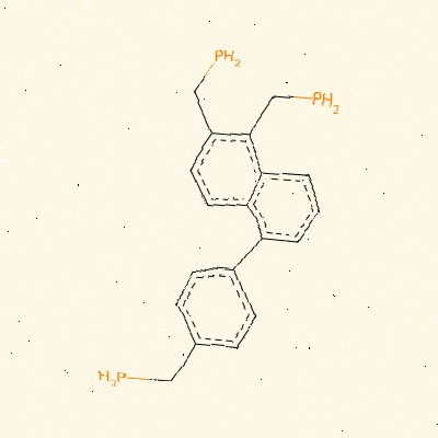 PCc1ccc(-c2cccc3c(CP)c(CP)ccc23)cc1